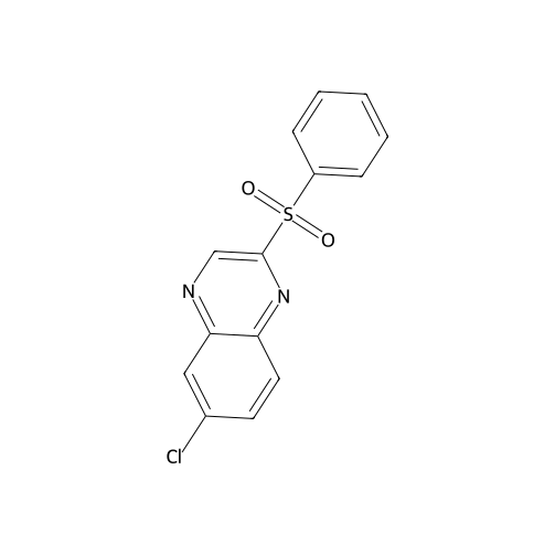 O=S(=O)(c1ccccc1)c1cnc2cc(Cl)ccc2n1